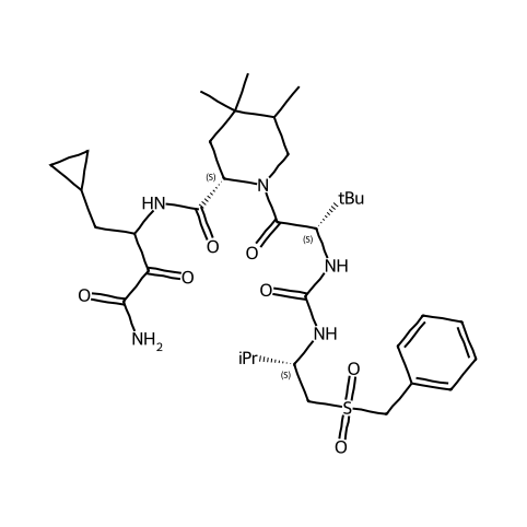 CC(C)[C@@H](CS(=O)(=O)Cc1ccccc1)NC(=O)N[C@H](C(=O)N1CC(C)C(C)(C)C[C@H]1C(=O)NC(CC1CC1)C(=O)C(N)=O)C(C)(C)C